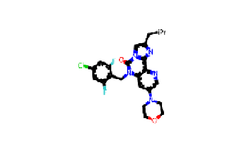 CC(C)Cc1cn2c(=O)n(Cc3c(F)cc(Cl)cc3F)c3cc(N4CCOCC4)cnc3c2n1